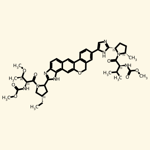 CC[C@H]1CC(c2nc3ccc4cc5c(cc4c3[nH]2)OCc2cc(-c3cnc([C@@H]4CC[C@H](C)N4C(=O)[C@@H](NC(=O)OC)C(C)C)[nH]3)ccc2-5)N(C(=O)[C@@H](NC(=O)OC)[C@@H](C)OC)C1